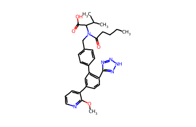 CCCCC(=O)N(Cc1ccc(-c2cc(-c3cccnc3OC)ccc2-c2nn[nH]n2)cc1)C(C(=O)O)C(C)C